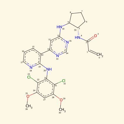 C=CC(=O)N[C@H]1CCCC1Nc1cc(-c2cccnc2Nc2c(Cl)c(OC)cc(OC)c2Cl)ncn1